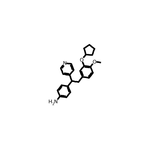 COc1ccc(CC(c2ccncc2)c2ccc(N)cc2)cc1OC1CCCC1